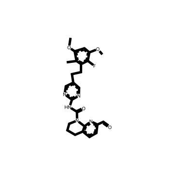 COc1cc(OC)c(F)c(CCc2cnc(NC(=O)N3CCCc4ccc(C=O)nc43)nc2)c1C